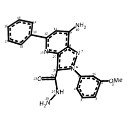 COc1cccc(-n2nc3c(N)cc(-c4ccccc4)nc3c2C(=O)NN)c1